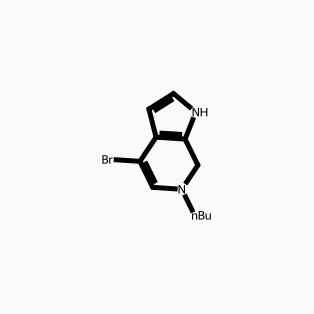 CCCCN1C=C(Br)c2cc[nH]c2C1